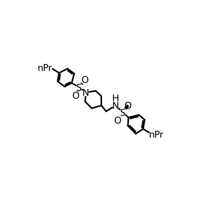 CCCc1ccc(S(=O)(=O)NCC2CCN(S(=O)(=O)c3ccc(CCC)cc3)CC2)cc1